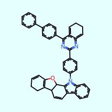 C1=CC2=C(CC1)C1C=Cc3c(n(-c4ccc(-c5nc(-c6ccc(-c7ccccc7)cc6)c6c(n5)=CCCC=6)cc4)c4ccccc34)C1O2